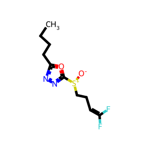 CCCCc1nnc([S+]([O-])CCC=C(F)F)o1